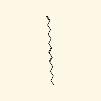 C=CCCCCCC=CC=CCCCCC